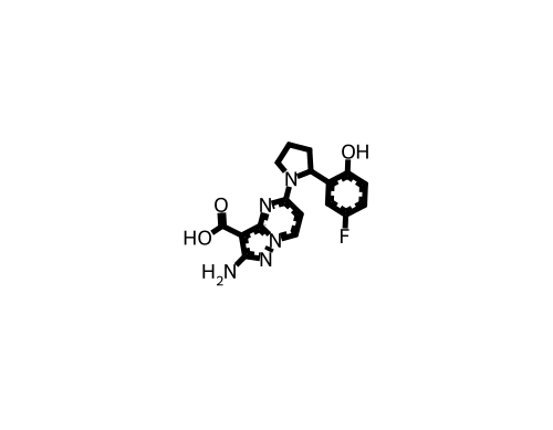 Nc1nn2ccc(N3CCCC3c3cc(F)ccc3O)nc2c1C(=O)O